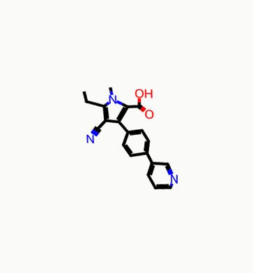 CCc1c(C#N)c(-c2ccc(-c3cccnc3)cc2)c(C(=O)O)n1C